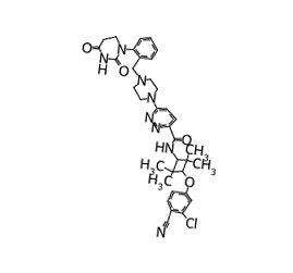 CC1(C)C(NC(=O)c2ccc(N3CCN(Cc4ccccc4N4CCC(=O)NC4=O)CC3)nn2)C(C)(C)C1Oc1ccc(C#N)c(Cl)c1